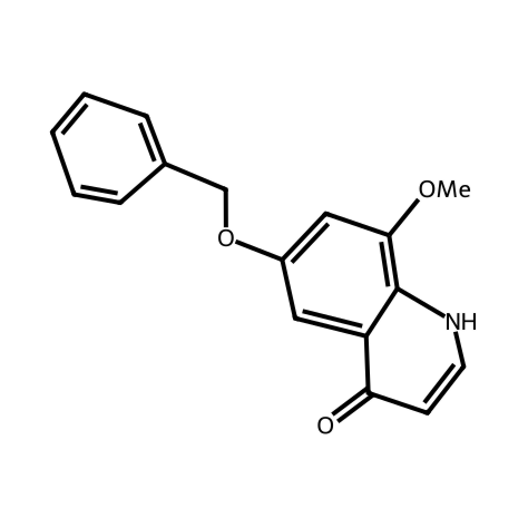 COc1cc(OCc2ccccc2)cc2c(=O)cc[nH]c12